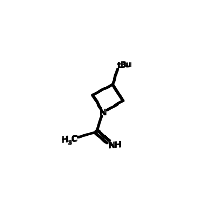 CC(=N)N1CC(C(C)(C)C)C1